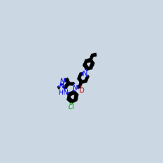 CCc1ccc(N2CCC(C(=O)N3Cc4cnn(C)c4Nc4cc(Cl)ccc43)CC2)cc1